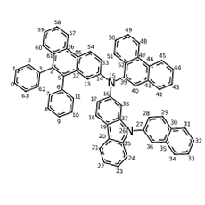 c1ccc(-c2c(-c3ccccc3)c3cc(N(c4ccc5c6ccccc6n(-c6ccc7ccccc7c6)c5c4)c4cc5ccccc5c5ccccc45)ccc3c3ccccc23)cc1